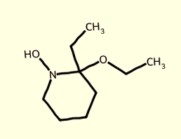 CCOC1(CC)CCCCN1O